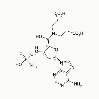 NP(=O)(O)O.Nc1ncnc2c1ncn2[C@H]1C[C@H](O)[C@@H](C(O)N(CCC(=O)O)CCC(=O)O)O1